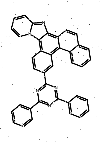 c1ccc(-c2nc(-c3ccccc3)nc(-c3ccc4c(c3)c3c5ccccc5ccc3c3nc5ccccn5c43)n2)cc1